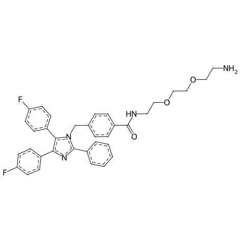 NCCOCCOCCNC(=O)c1ccc(Cn2c(-c3ccccc3)nc(-c3ccc(F)cc3)c2-c2ccc(F)cc2)cc1